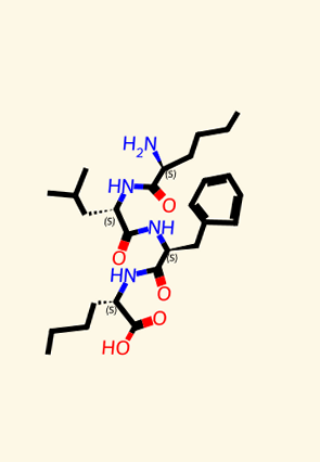 CCCC[C@H](NC(=O)[C@H](Cc1ccccc1)NC(=O)[C@H](CC(C)C)NC(=O)[C@@H](N)CCCC)C(=O)O